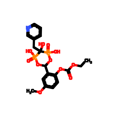 CCOC(=O)Oc1ccc(OC)cc1C1OP(=O)(O)C(O)(Cc2cccnc2)P(=O)(O)O1